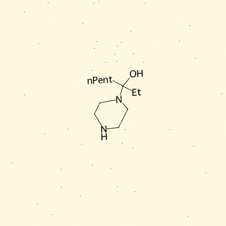 CCCCCC(O)(CC)N1CCNCC1